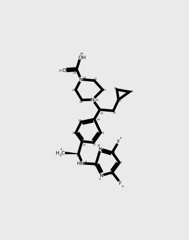 C[C@H](Nc1nc(F)cc(F)n1)c1ccc(C(CC2CC2)N2CCN(C(=O)O)CC2)cc1